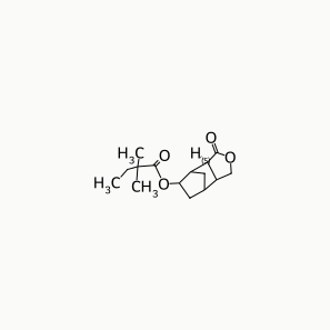 CCC(C)(C)C(=O)OC1CC2CC1[C@H]1C(=O)OCC21